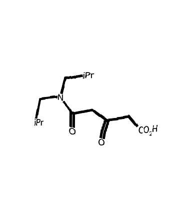 CC(C)CN(CC(C)C)C(=O)CC(=O)CC(=O)O